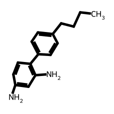 CCCCc1ccc(-c2ccc(N)cc2N)cc1